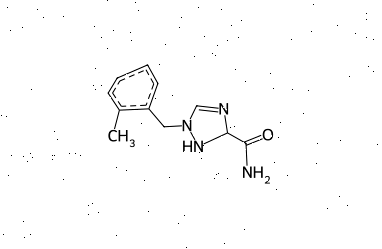 Cc1ccccc1CN1C=NC(C(N)=O)N1